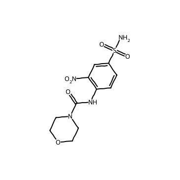 NS(=O)(=O)c1ccc(NC(=O)N2CCOCC2)c([N+](=O)[O-])c1